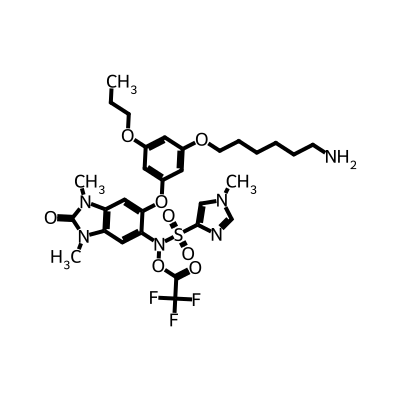 CCCOc1cc(OCCCCCCN)cc(Oc2cc3c(cc2N(OC(=O)C(F)(F)F)S(=O)(=O)c2cn(C)cn2)n(C)c(=O)n3C)c1